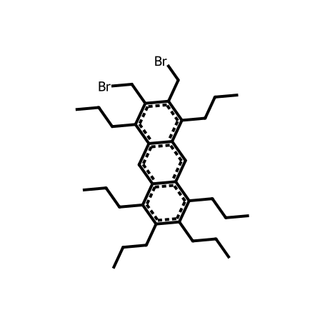 CCCc1c(CCC)c(CCC)c2cc3c(CCC)c(CBr)c(CBr)c(CCC)c3cc2c1CCC